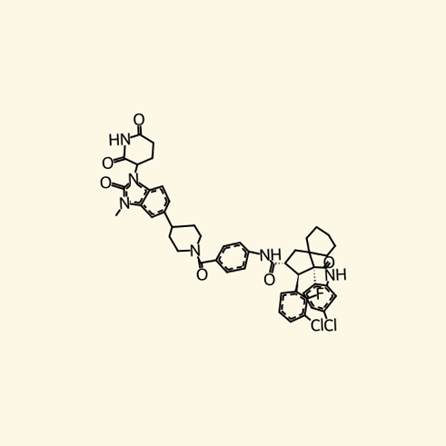 Cn1c(=O)n(C2CCC(=O)NC2=O)c2ccc(C3CCN(C(=O)c4ccc(NC(=O)[C@@H]5CC6(CCCCC6)[C@@]6(C(=O)Nc7cc(Cl)ccc76)[C@H]5c5cccc(Cl)c5F)cc4)CC3)cc21